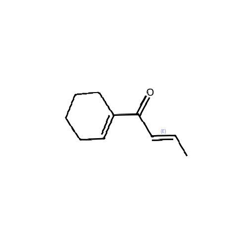 C/C=C/C(=O)C1=CCCCC1